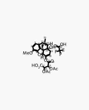 COc1ccc2c3c1O[C@H]1C(OC(=O)C(OC(C)=O)C(OC(C)=O)C(=O)O)=CC[C@@]4(O)[C@@H](C2)N(C)CC[C@]314.O=C(O)C(F)(F)F